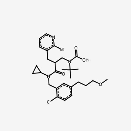 COCCCc1ccc(Cl)c(CN(C(=O)C(Cc2cccnc2Br)CN(C(=O)O)C(C)(C)C)C2CC2)c1